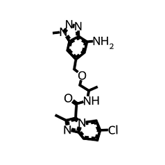 Cc1nc2ccc(Cl)cn2c1C(=O)NC(C)COCc1cc(N)c2nnn(C)c2c1